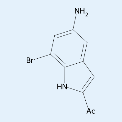 CC(=O)c1cc2cc(N)cc(Br)c2[nH]1